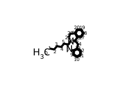 CCCCCCC1=Nc2ccccc2CC2c3ccccc3CCN12